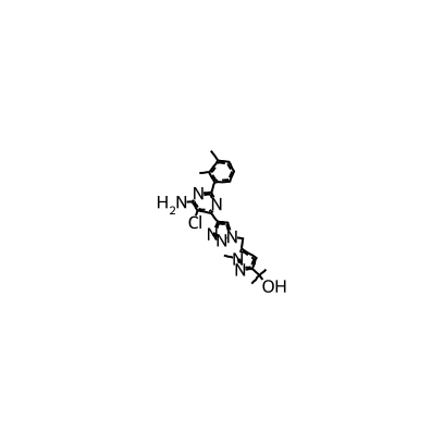 Cc1cccc(-c2nc(N)c(Cl)c(-c3cn(Cc4cc(C(C)(C)O)nn4C)nn3)n2)c1C